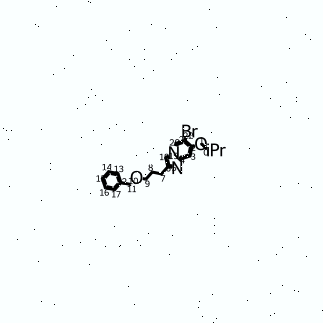 CC(C)Oc1cc2nc(CCCOCc3ccccc3)cn2cc1Br